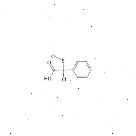 O=C(O)C(Cl)(SCl)c1ccccc1